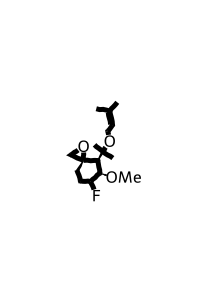 CO[C@@H]1C(F)CC[C@]2(CO2)[C@H]1C(C)(C)OCC=C(C)C